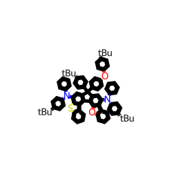 CC(C)(C)c1ccc(Oc2ccc(C3(c4ccc(C(C)(C)C)cc4)c4cc(N(c5ccccc5)c5ccc(C(C)(C)C)cc5)c5c(oc6ccccc65)c4-c4c3cc(N(c3ccccc3)c3ccc(C(C)(C)C)cc3)c3sc5ccccc5c43)cc2)cc1